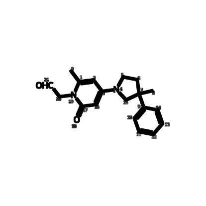 Cc1cc(N2CCC(C)(c3ccccc3)C2)cc(=O)n1CC=O